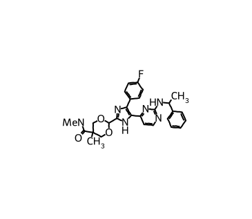 CNC(=O)C1(C)COC(c2nc(-c3ccc(F)cc3)c(-c3ccnc(NC(C)c4ccccc4)n3)[nH]2)OC1